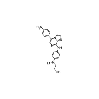 CCN(CCO)c1ccc(Nc2ncc(-c3ccc(N)cc3)n3ccnc23)cc1